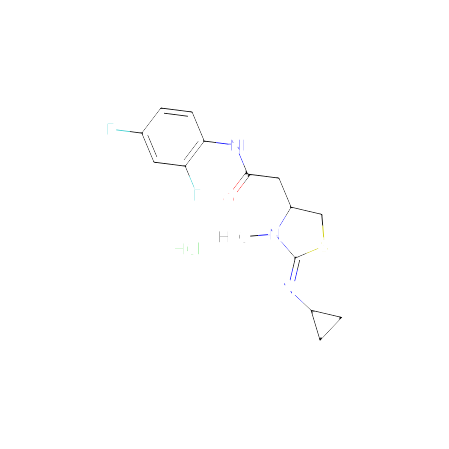 CN1C(=NC2CC2)SCC1CC(=O)Nc1ccc(F)cc1F.Cl